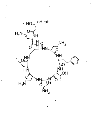 CCCCCCC[C@@H](O)CC(=O)N[C@H](CCN)C(=O)N[C@H]1CCNC(=O)[C@H](CC(C)C)NC(=O)[C@H](CCN)NC(=O)[C@H](CCN)NC(=O)[C@H]([C@@H](C)O)NC(=O)[C@@H](CCc2ccccc2)NC(=O)[C@H](CCN)NC1=O